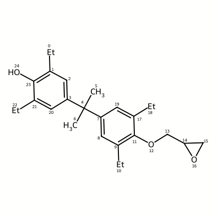 CCc1cc(C(C)(C)c2cc(CC)c(OCC3CO3)c(CC)c2)cc(CC)c1O